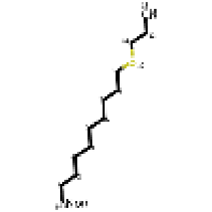 CCCCCCCCCCCCCCCCCCSCCC#N